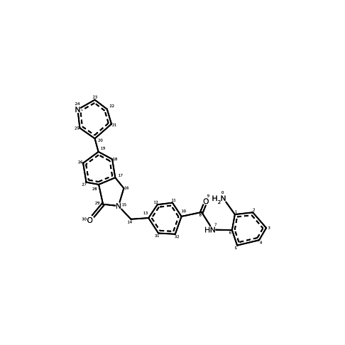 Nc1ccccc1NC(=O)c1ccc(CN2Cc3cc(-c4cccnc4)ccc3C2=O)cc1